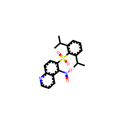 CC(C)c1cccc(C(C)C)c1S(=O)(=O)c1ccc2ncccc2c1[N+](=O)[O-]